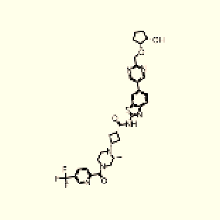 C[C@H]1CN(C(=O)c2ccc(C(F)(F)F)cn2)CCN1[C@H]1C[C@@H](C(=O)Nc2nc3ccc(-c4cnc(CO[C@H]5CCC[C@@H]5O)nc4)cc3s2)C1